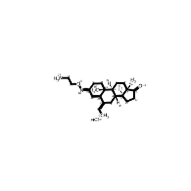 C/C=C1\C[C@@H]2[C@H](CC[C@]3(C)C(=O)CC[C@@H]23)[C@@]2(C)CCC(=NOCCN)CC12.Cl